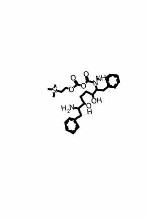 C[Si](C)(C)CCOC(=O)OC(=O)N(N)C(Cc1ccccc1)C(O)CCC(O)C(N)Cc1ccccc1